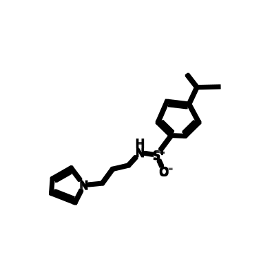 CC(C)c1ccc([S+]([O-])NCCCn2cccc2)cc1